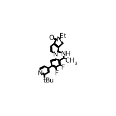 CCN1Cc2c(ccnc2N[C@@H](C)c2ccc(-c3ccnc(C(C)(C)C)c3)c(F)c2F)C1=O